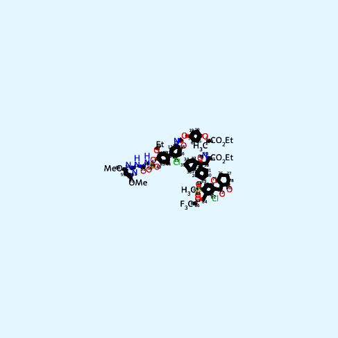 CCOC(=O)C(C)Oc1ccc(Oc2nc3ccc(Cl)cc3o2)cc1.CCOC(=O)C1=NOC(c2ccccc2)(c2ccccc2)C1.CCOc1ccccc1OS(=O)(=O)NC(=O)Nc1nc(OC)cc(OC)n1.CS(=O)(=O)c1ccc(C(=O)C2C(=O)CCCC2=O)c(Cl)c1COCC(F)(F)F